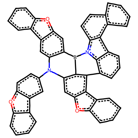 c1ccc2c(c1)ccc1c2c2cccc3c2n1B1c2cc4oc5ccccc5c4cc2N(c2ccc4oc5ccccc5c4c2)c2cc4oc5ccccc5c4c-3c21